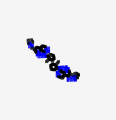 Cc1c(Nc2nccc3cc(CN4CCCC4)cnc23)cccc1-c1cccc(Nc2nccc3cc(C4CCCN4)cnc23)c1C